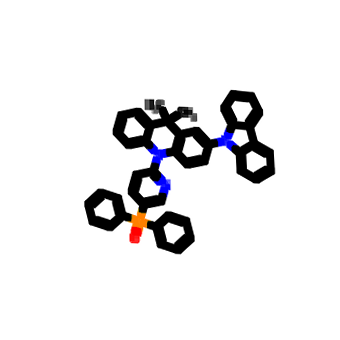 CC1(C)c2ccccc2N(c2ccc(P(=O)(c3ccccc3)c3ccccc3)cn2)c2ccc(-n3c4ccccc4c4ccccc43)cc21